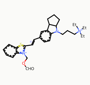 CC[N+](CC)(CC)CCCN1c2ccc(/C=C/c3sc4ccccc4[n+]3COC=O)cc2C2CCCC21